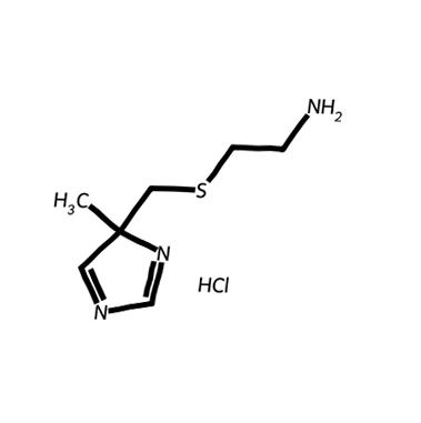 CC1(CSCCN)C=NC=N1.Cl